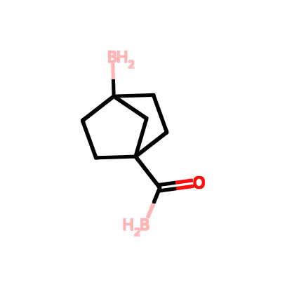 BC(=O)C12CCC(B)(CC1)C2